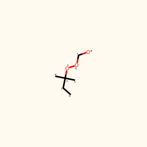 CCC(C)(C)OOC[O]